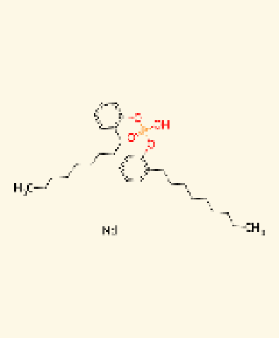 CCCCCCCCCc1ccccc1OP(=O)(O)Oc1ccccc1CCCCCCCCC.[Nd]